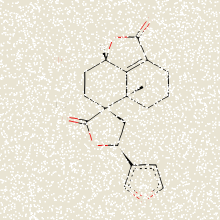 C[C@@H]1[C@H](O)[C@@H]2OC(=O)C3=C2[C@H](CCC3)[C@@]12C[C@@H](c1ccoc1)OC2=O